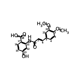 COc1ccc(/C=C/C(=O)Nc2cc(O)ccc2C(=O)O)cc1OC